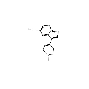 OC1=CCC2=NC=C(C3=CCNCC3)C2=C1